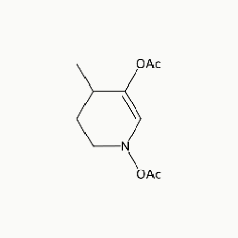 CC(=O)OC1=CN(OC(C)=O)CCC1C